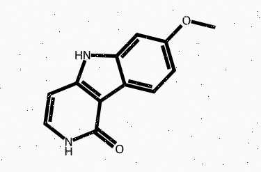 COc1ccc2c(c1)[nH]c1cc[nH]c(=O)c12